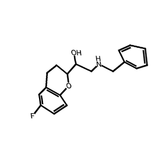 OC(CNCc1ccccc1)C1CCc2cc(F)ccc2O1